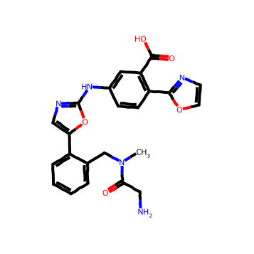 CN(Cc1ccccc1-c1cnc(Nc2ccc(-c3ncco3)c(C(=O)O)c2)o1)C(=O)CN